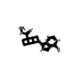 COC(=O)C12C3C4C1C1C2C3C41c1ncc2c(Cl)nccn12